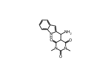 CN1C(=O)C(C(N)c2cc3ccccc3[nH]2)C(=O)N(C)C1=O